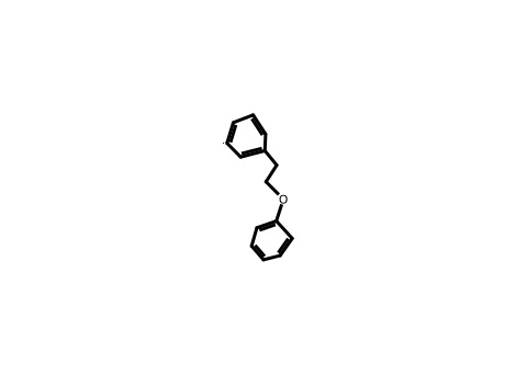 [c]1cccc(CCOc2ccccc2)c1